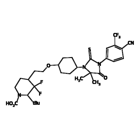 CC(C)(C)C1N(C(=O)O)CCC(CCOC2CCC(N3C(=S)N(c4ccc(C#N)c(C(F)(F)F)c4)C(=O)C3(C)C)CC2)C1(F)F